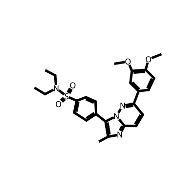 CCN(CC)S(=O)(=O)c1ccc(-c2c(C)nc3ccc(-c4ccc(OC)c(OC)c4)nn23)cc1